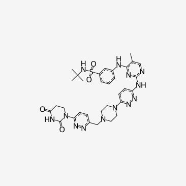 Cc1cnc(Nc2ccc(N3CCN(Cc4ccc(N5CCC(=O)NC5=O)nn4)CC3)nn2)nc1Nc1cccc(S(=O)(=O)NC(C)(C)C)c1